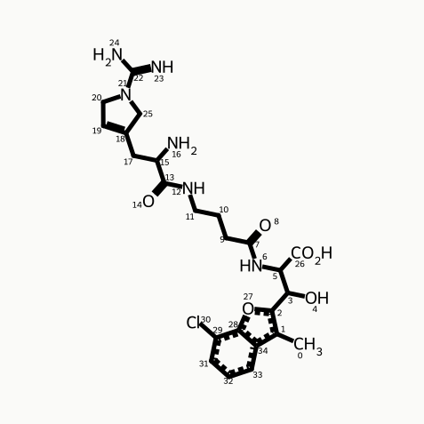 Cc1c(C(O)C(NC(=O)CCCNC(=O)C(N)CC2=CCN(C(=N)N)C2)C(=O)O)oc2c(Cl)cccc12